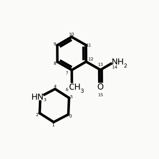 C1CCNCC1.Cc1ccccc1C(N)=O